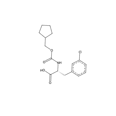 O=C(N[C@H](Cc1cccc(Cl)c1)C(=O)O)OCC1CCCC1